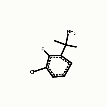 CC(C)(N)c1cccc(Cl)c1F